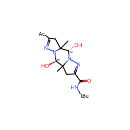 CC(=O)C1=NN2[C@H](O)C3(C)CC(C(=O)NC(C)(C)C)=NN3[C@@H](O)C2(C)C1